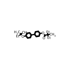 CCC(C)(C)Oc1ccc(-c2ccc(OC(=O)C(C)(CC)CC)cc2)cc1